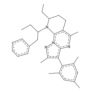 CCC1CCc2c(C)nc3c(-c4c(C)cc(C)cc4C)c(C)nn3c2N1C(CC)Cc1ccccc1